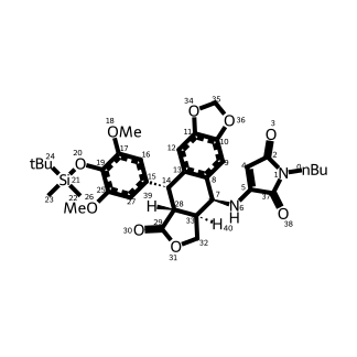 CCCCN1C(=O)C=C(N[C@@H]2c3cc4c(cc3[C@@H](c3cc(OC)c(O[Si](C)(C)C(C)(C)C)c(OC)c3)[C@H]3C(=O)OC[C@@H]32)OCO4)C1=O